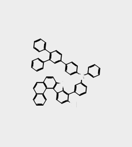 Clc1ccc2c(oc3ccc4ccc5ccccc5c4c32)c1-c1cccc(N(c2ccccc2)c2ccc(-c3ccc(-c4ccccc4)c(-c4ccccc4)c3)cc2)c1